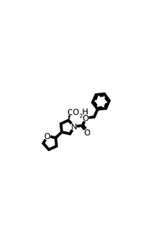 O=C(O)[C@@H]1CC(C2CCCO2)CN1C(=O)OCc1ccccc1